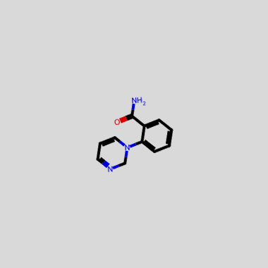 NC(=O)c1ccccc1N1C=CC=NC1